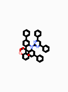 c1ccc(-c2ccc3c(c2)N(c2nc(-c4ccccc4)cc(-c4ccccc4)n2)c2cc(-c4ccccc4)ccc2C32c3ccccc3Oc3ccccc32)cc1